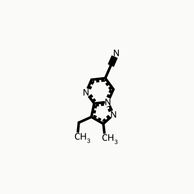 CCc1c(C)nn2cc(C#N)cnc12